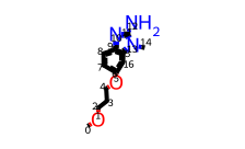 COCCCOc1ccc2nc(N)n(C)c2c1